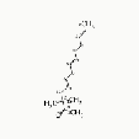 CC=CCCC=CCC=CCC(C)(C)C(C)=O